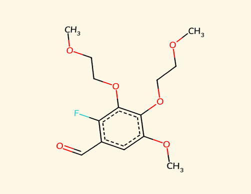 COCCOc1c(OC)cc(C=O)c(F)c1OCCOC